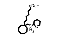 CCCCCCCCCCCCCCCCC1(C[SiH2]C2CCCCO2)CCCCCCC1